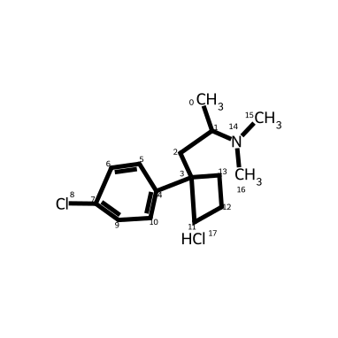 CC(CC1(c2ccc(Cl)cc2)CCC1)N(C)C.Cl